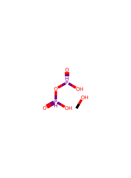 CO.O=[PH](O)O[PH](=O)O